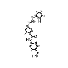 [NH]Cc1ccc(NC(=O)c2ccc(CNCc3ncc[nH]3)s2)nc1